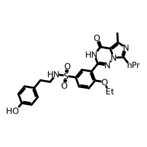 CCCc1nc(C)c2c(=O)[nH]c(-c3cc(S(=O)(=O)NCCc4ccc(O)cc4)ccc3OCC)nn12